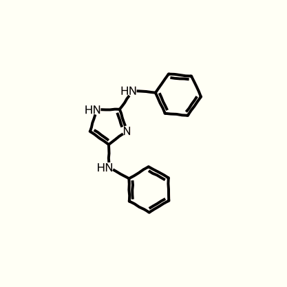 c1ccc(Nc2c[nH]c(Nc3ccccc3)n2)cc1